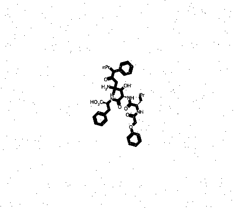 CCCC(C(=O)CC(C)(N)C(O)[C@H](NC(=O)[C@H](CC(C)C)NC(=O)COc1ccccc1)C(=O)N[C@@H](Cc1ccccc1)C(=O)O)c1ccccc1